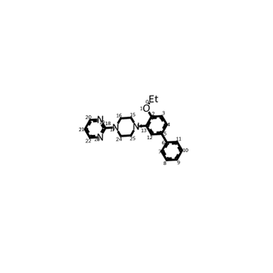 CCOc1ccc(-c2ccccc2)cc1N1CCN(c2ncccn2)CC1